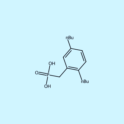 CCCCc1ccc(CCCC)c(CP(=O)(O)O)c1